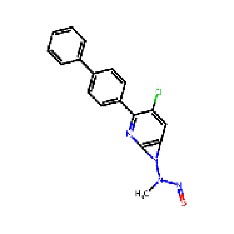 CN(N=O)N1c2cc(Cl)c(-c3ccc(-c4ccccc4)cc3)nc21